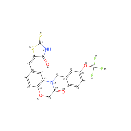 O=C1NC(=S)SC1=Cc1ccc2c(c1)N(Cc1cccc(OC(F)(F)F)c1)C(=O)CO2